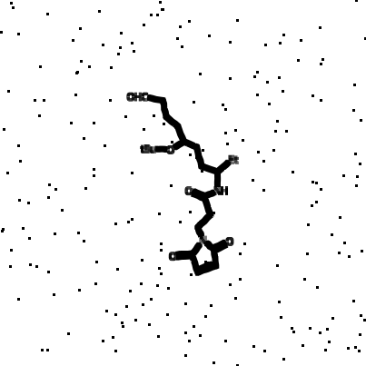 CCC(CCC(CCCC=O)OC(C)(C)C)NC(=O)CCN1C(=O)C=CC1=O